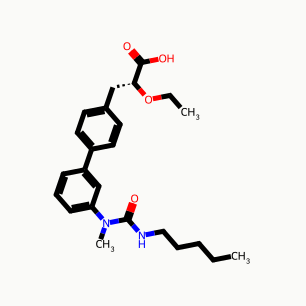 CCCCCNC(=O)N(C)c1cccc(-c2ccc(C[C@@H](OCC)C(=O)O)cc2)c1